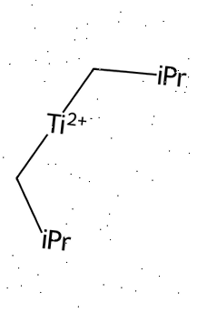 CC(C)[CH2][Ti+2][CH2]C(C)C